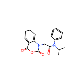 CC(C)N(C(=O)Cn1c(=O)oc(=O)c2c1=CCCC=2)c1ccccc1